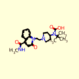 CNC(=O)c1cc(=O)n(CCN2CCC(N(C(=O)O)C(C)(C)C)CC2)c2ccccc12